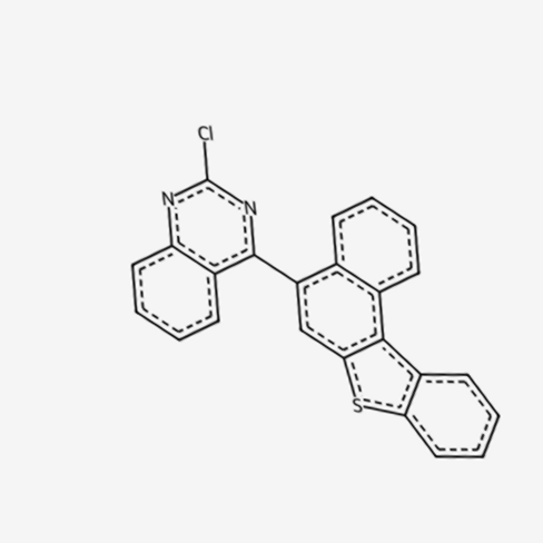 Clc1nc(-c2cc3sc4ccccc4c3c3ccccc23)c2ccccc2n1